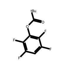 CC(C)(C)C(=O)Oc1c(F)c(F)cc(F)c1F